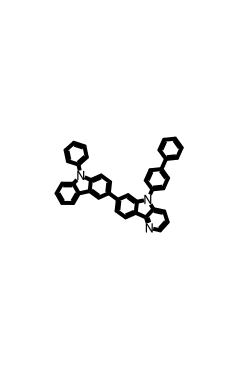 c1ccc(-c2ccc(-n3c4cc(-c5ccc6c(c5)c5ccccc5n6-c5ccccc5)ccc4c4ncccc43)cc2)cc1